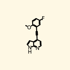 COc1ccc(F)cc1C#Cc1ccnc2[nH]ccc12